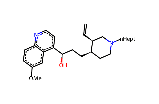 C=C[C@H]1CN(CCCCCCC)CC[C@H]1CC[C@@H](O)c1ccnc2ccc(OC)cc12